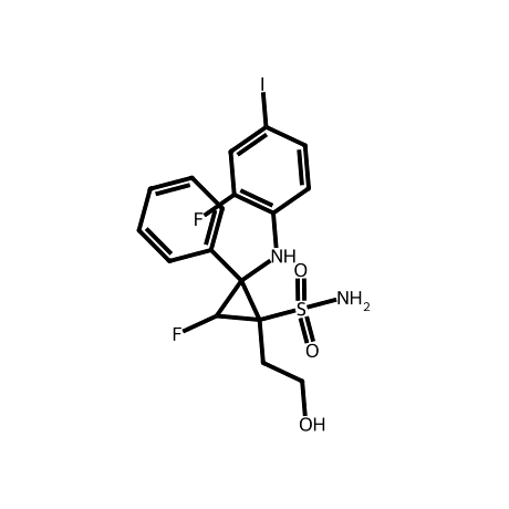 NS(=O)(=O)C1(CCO)C(F)C1(Nc1ccc(I)cc1F)c1ccccc1